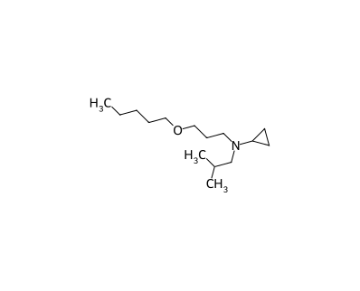 CCCCCOCCCN(CC(C)C)C1CC1